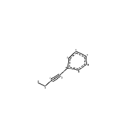 CCC#Cc1ccccc1